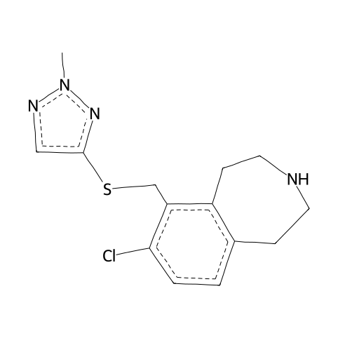 Cn1ncc(SCc2c(Cl)ccc3c2CCNCC3)n1